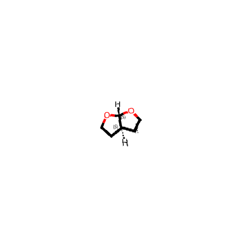 [C]1CO[C@H]2OCC[C@H]12